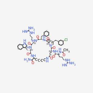 CC(=O)N[C@@H](CCCNC(=N)N)C(=O)N[C@H]1CC(=O)NCCCC[C@@H](C(N)=O)NC(=O)[C@H](Cc2c[nH]c3ccccc23)NC(=O)[C@H](CCCNC(=N)N)NC(=O)C(Cc2ccccc2)NC(=O)[C@@H]2C[C@@H](Cc3cccc(Cl)c3)CN2C1=O